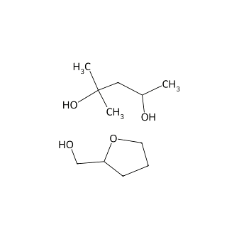 CC(O)CC(C)(C)O.OCC1CCCO1